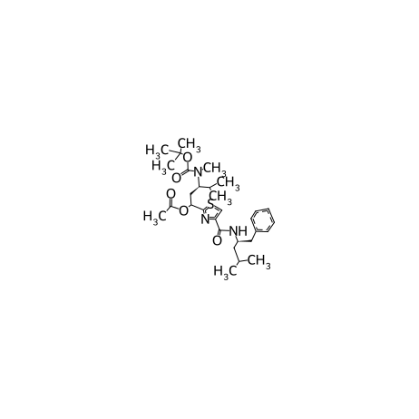 CC(=O)OC(C[C@H](C(C)C)N(C)C(=O)OC(C)(C)C)c1nc(C(=O)N[C@@H](Cc2ccccc2)CC(C)C)cs1